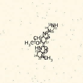 CC(C)Oc1cc2nc(N3CCNCC3)sc2cc1C(=O)Nc1cccn(C)c1=O